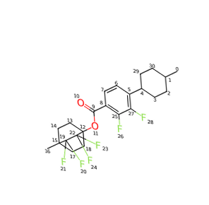 CC1CCC(c2ccc(C(=O)OC34CCC(C)(CC3)C(F)(F)C4(F)F)c(F)c2F)CC1